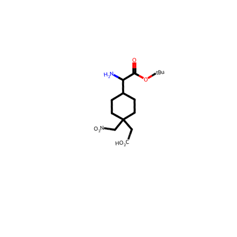 CC(C)(C)OC(=O)C(N)C1CCC(CC(=O)O)(C[N+](=O)[O-])CC1